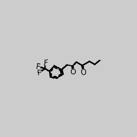 CCCC(=O)CC(=O)Cc1cccc(C(F)(F)F)c1